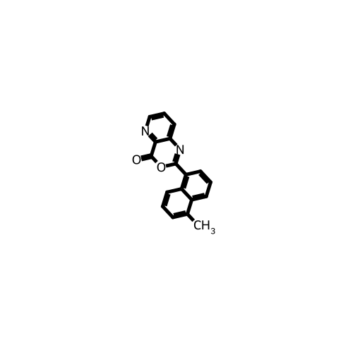 Cc1cccc2c(-c3nc4cccnc4c(=O)o3)cccc12